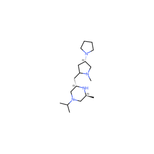 CC(C)N1C[C@H](CC2C[C@H](N3CCCC3)CN2C)N[C@@H](C)C1